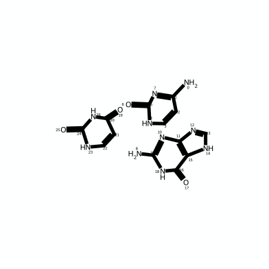 Nc1cc[nH]c(=O)n1.Nc1nc2nc[nH]c2c(=O)[nH]1.O=c1cc[nH]c(=O)[nH]1